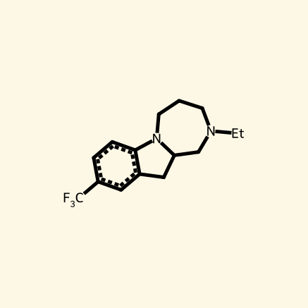 CCN1CCCN2c3ccc(C(F)(F)F)cc3CC2C1